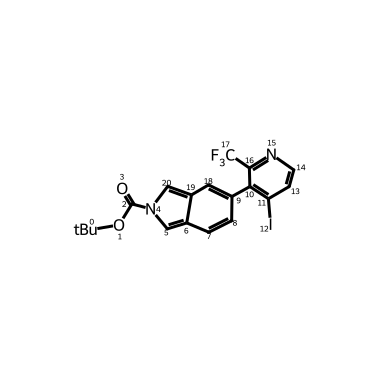 CC(C)(C)OC(=O)n1cc2ccc(-c3c(I)ccnc3C(F)(F)F)cc2c1